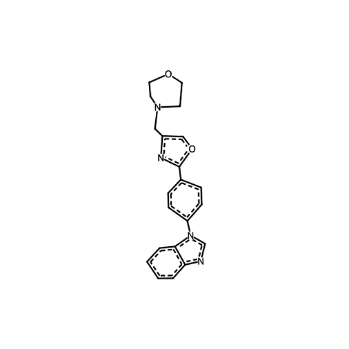 c1ccc2c(c1)ncn2-c1ccc(-c2nc(CN3CCOCC3)co2)cc1